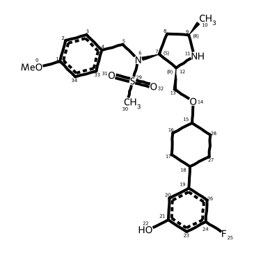 COc1ccc(CN([C@H]2C[C@@H](C)N[C@H]2COC2CCC(c3cc(O)cc(F)c3)CC2)S(C)(=O)=O)cc1